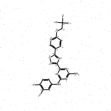 Nc1nc(Nc2ccc(F)c(F)c2)nc(-c2noc(-c3ccc(OCC(F)(F)F)nc3)n2)n1